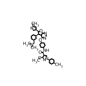 COc1nn(-c2ccc(C)cc2)cc1C(=O)Nc1ccc(Oc2ncnc3oc(-c4cnn(C)c4)c(-c4cccc(CN(C)C)c4)c23)cc1